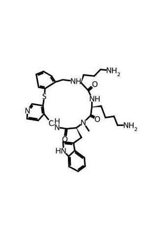 CN1C(=O)[C@H](CCCCN)NC(=O)[C@H](CCCN)NCc2ccccc2Sc2cnccc2CNC(=O)[C@@H]1Cc1c[nH]c2ccccc12